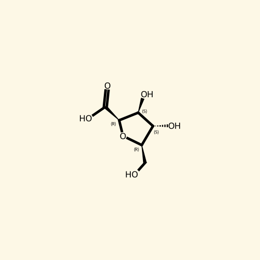 O=C(O)[C@@H]1O[C@H](CO)[C@@H](O)[C@@H]1O